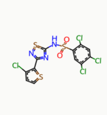 O=S(=O)(Nc1nc(-c2sccc2Cl)ns1)c1cc(Cl)c(Cl)cc1Cl